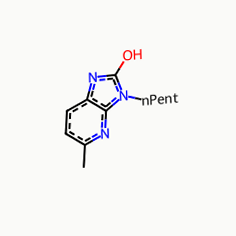 CCCCCn1c(O)nc2ccc(C)nc21